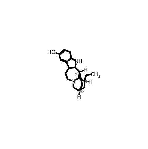 CC[C@H]1C[C@H]2C[C@H]3C4NC5CC=C(O)C=C5C4CCN(C2)C13